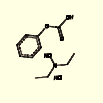 CCN(O)CC.Cl.O=C(O)Oc1ccccc1